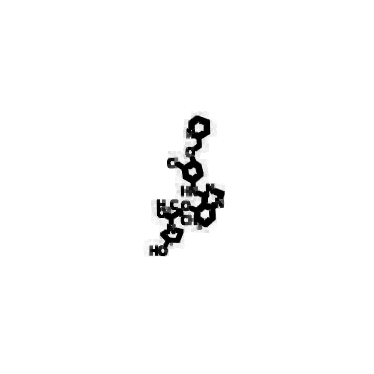 CC(C)(Oc1cccc2ncnc(Nc3ccc(OCc4ccccn4)c(Cl)c3)c12)C(=O)N1CC[C@@H](O)C1